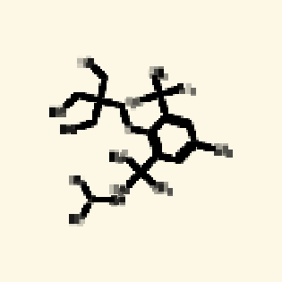 Cc1cc(C(C)(C)C)c(OCC(CO)(CO)CO)c(C(C)(C)C)c1.OP(O)O